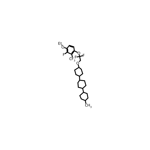 CCOc1ccc(OC(F)(F)COC2CCC(C3CCC(C4CCC(C)CC4)CC3)CC2)c(C(F)(F)F)c1F